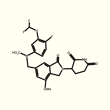 COc1cc(CN(C(=O)O)c2ccc(F)c(OC(F)F)c2)cc2c1CN(C1CCC(=O)NC1=O)C2=O